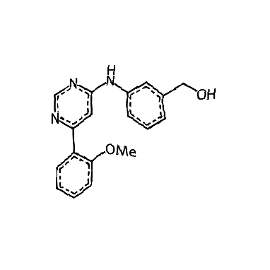 COc1ccccc1-c1cc(Nc2cccc(CO)c2)ncn1